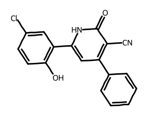 N#Cc1c(-c2ccccc2)cc(-c2cc(Cl)ccc2O)[nH]c1=O